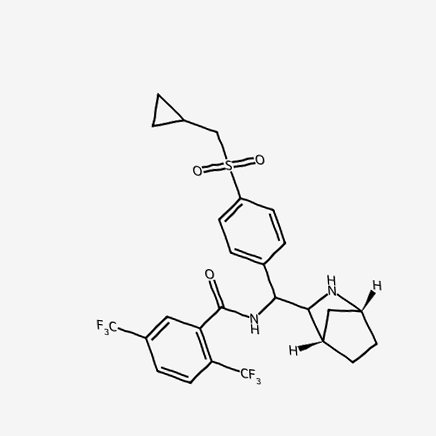 O=C(NC(c1ccc(S(=O)(=O)CC2CC2)cc1)C1N[C@@H]2CC[C@H]1C2)c1cc(C(F)(F)F)ccc1C(F)(F)F